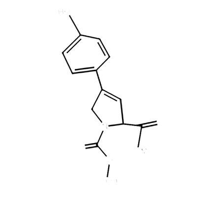 COC(=O)C1C=C(c2ccc(O)cc2)CN1C(=O)OC(C)(C)C